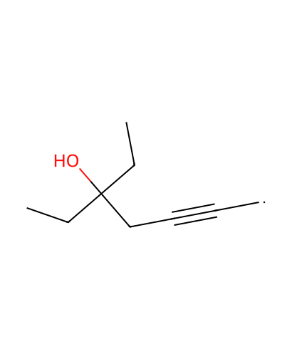 [CH2]C#CCC(O)(CC)CC